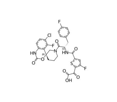 O=C1Nc2ccc(Cl)c(F)c2[C@@]2(CCCN(C(=O)[C@H](Cc3ccc(F)cc3)NC(=O)c3cc(F)c(C(=O)C(=O)O)s3)C2)O1